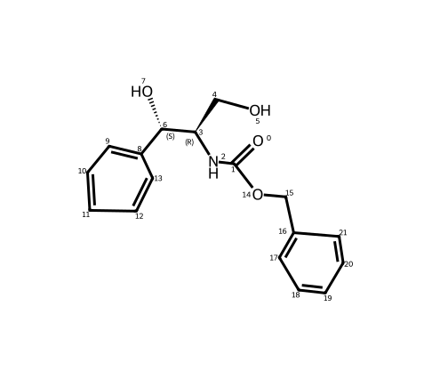 O=C(N[C@H](CO)[C@@H](O)c1ccccc1)OCc1ccccc1